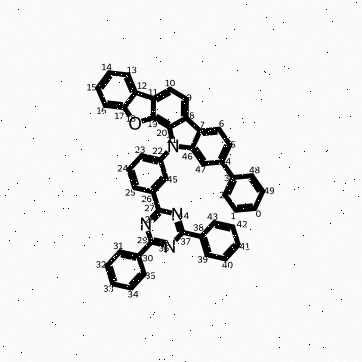 c1ccc(-c2ccc3c4ccc5c6ccccc6oc5c4n(-c4cccc(-c5nc(-c6ccccc6)nc(-c6ccccc6)n5)c4)c3c2)cc1